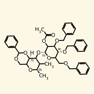 CC(=O)OC1C(OCc2ccccc2)[C@H](OCc2ccccc2)C(COCc2ccccc2)O[C@@H]1OC1C(C)[C@@H](C)OC2COC(c3ccccc3)O[C@H]21